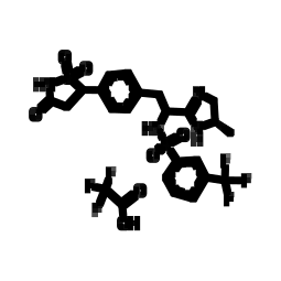 C[C@@H]1CN=C(C(Cc2ccc(C3CC(=O)NS3(=O)=O)cc2)NS(=O)(=O)c2cccc(C(F)(F)F)c2)N1.O=C(O)C(F)(F)F